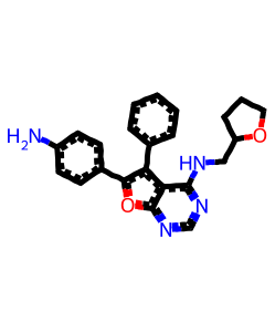 Nc1ccc(-c2oc3ncnc(NCC4CCCO4)c3c2-c2ccccc2)cc1